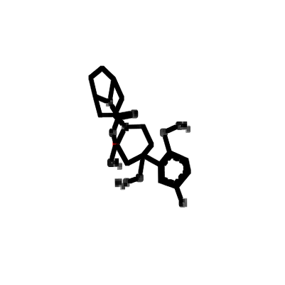 CCOC(=O)N1C2CCC1CC(N1CCC(OC)(c3cc(Cl)ccc3OC)CC1)C2